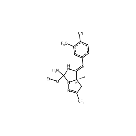 CCOC1(N)NC(=Nc2ccc(C#N)c(C(F)(F)F)c2)[C@@]2(C)CC(C(F)(F)F)=NN12